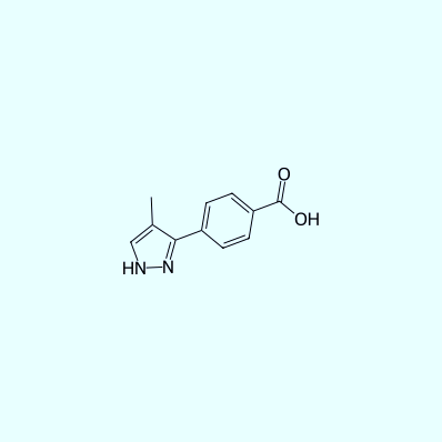 Cc1c[nH]nc1-c1ccc(C(=O)O)cc1